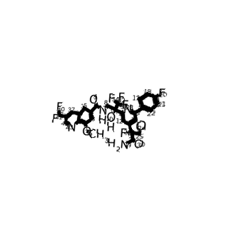 COc1cc(C(=O)NC[C@](O)(c2cc3c(c(-c4ccc(F)cc4)n2)OC[C@]3(F)C(N)=O)C(F)(F)F)cc2cc(C(F)F)cnc12